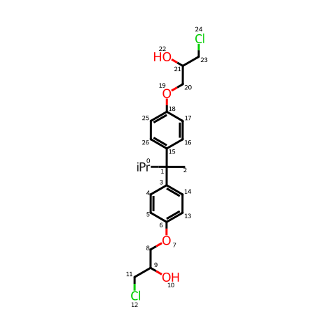 CC(C)C(C)(c1ccc(OCC(O)CCl)cc1)c1ccc(OCC(O)CCl)cc1